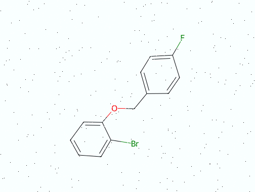 Fc1ccc(COc2ccccc2Br)cc1